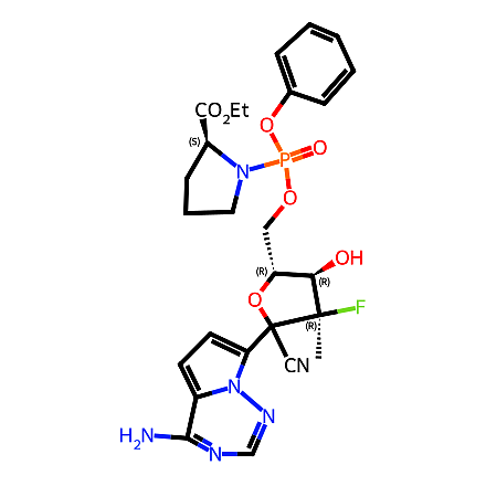 CCOC(=O)[C@@H]1CCCN1P(=O)(OC[C@H]1OC(C#N)(c2ccc3c(N)ncnn23)[C@](C)(F)[C@@H]1O)Oc1ccccc1